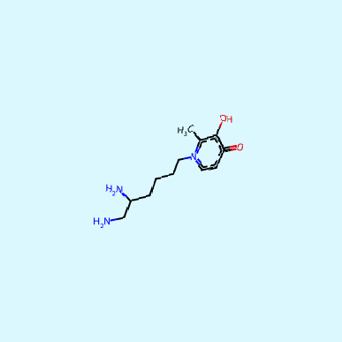 Cc1c(O)c(=O)ccn1CCCCC(N)CN